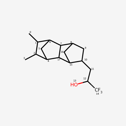 CC1C(C)C2CC1C1C3CC(CC(O)C(F)(F)F)C(C3)C21